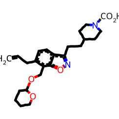 C=CCc1ccc2c(CCC3CCN(C(=O)O)CC3)noc2c1COC1CCCCO1